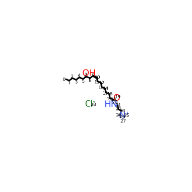 CCCCCC[C@@H](O)C/C=C\CCCCCCCC(=O)NCCC[N+](C)(C)C.[Cl-]